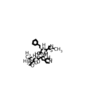 Cc1ncc(C(=O)N[C@@H](CCc2ccccc2)C(=O)NC(C)[C@](C)(Cc2ccncc2)C(=O)N[C@@H](CC(C)C)C(=O)[C@@]2(C)CO2)s1